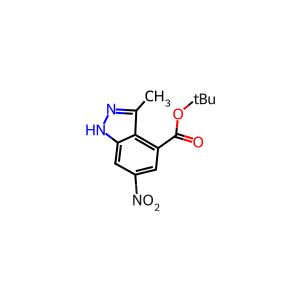 Cc1n[nH]c2cc([N+](=O)[O-])cc(C(=O)OC(C)(C)C)c12